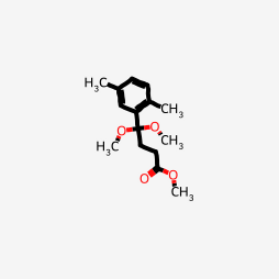 COC(=O)CCC(OC)(OC)c1cc(C)ccc1C